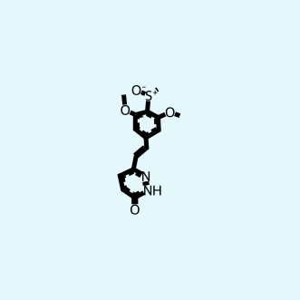 COc1cc(C=Cc2ccc(=O)[nH]n2)cc(OC)c1[S+](C)[O-]